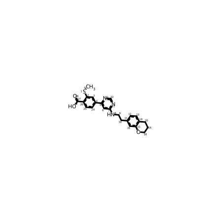 CSc1cc(-c2cc(NCCc3ccc4c(c3)OCCC4)ncn2)ccc1C(=O)O